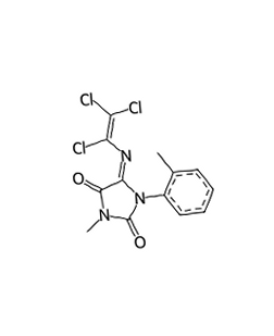 Cc1ccccc1N1C(=O)N(C)C(=O)C1=NC(Cl)=C(Cl)Cl